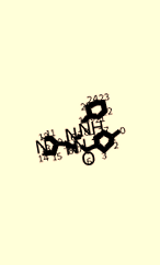 Cc1ccc(C(=O)n2nc(-c3ccncc3)nc2NCc2ccccc2)cc1